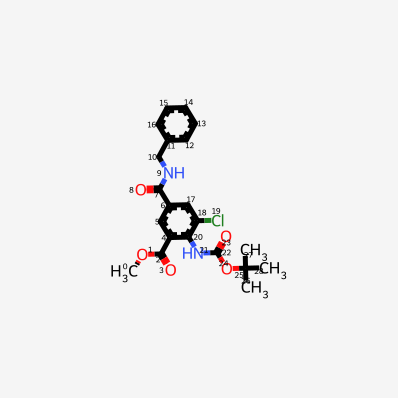 COC(=O)c1cc(C(=O)NCc2ccccc2)cc(Cl)c1NC(=O)OC(C)(C)C